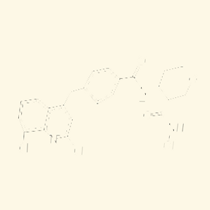 Cc1cc(Cc2ccc(C(=O)N[C@@H]3CCOC[C@@H]3C(=O)NO)cc2)c2cccc(Cl)c2n1